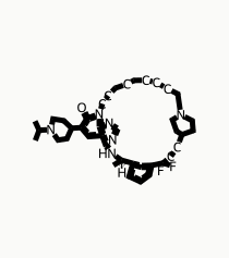 CC(C)N1CCC(c2cc3c4ncnc3n(c2=O)CCCCCCCCCN2CCC(CC2)CCC(F)(F)c2cccc(c2)[C@@H](C)N4)CC1